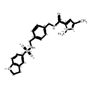 Cc1cc(C(=O)NCc2ccc(CNS(=O)(=O)c3ccc4c(c3)CCO4)cc2)n(C)n1